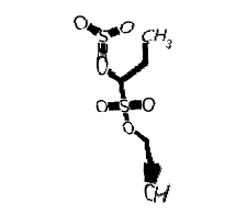 C#CCOS(=O)(=O)C(CC)O[SH](=O)=O